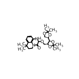 CC1(C)O[C@H]([C@H]2COC(C)(C)O2)[C@H](COC2Nc3cccc4c3N(CCC4(C)C)C2=O)O1